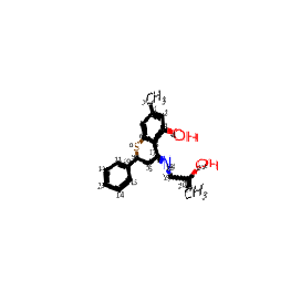 Cc1cc(O)c2c(c1)SC(c1ccccc1)CC2=NCC(C)O